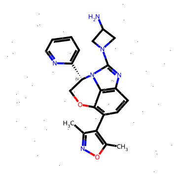 Cc1noc(C)c1-c1ccc2nc(N3CC(N)C3)n3c2c1OC[C@@H]3c1ccccn1